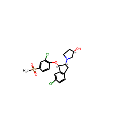 CS(=O)(=O)c1ccc(O[C@H]2c3cc(Cl)ccc3C[C@@H]2N2CC[C@@H](O)C2)c(Cl)c1